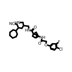 N#CC1NCC(CNC(=O)C23CC(C2)C(NC(=O)COc2ccc(Cl)c(F)c2)C3)CC1C1CCCCCC1